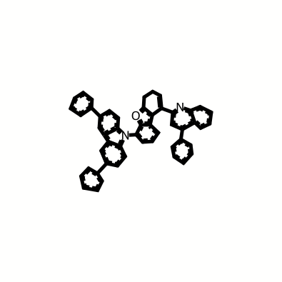 C1=C(c2cc(-c3ccccc3)c3ccccc3n2)c2c(oc3c(-n4c5ccc(-c6ccccc6)cc5c5cc(-c6ccccc6)ccc54)cccc23)CC1